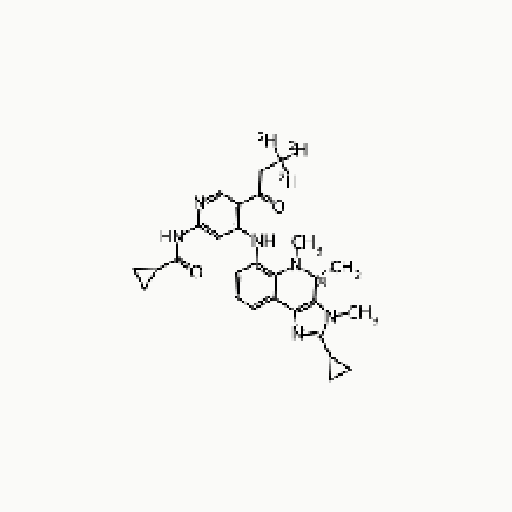 [2H]C([2H])([2H])CC(=O)c1cnc(NC(=O)C2CC2)cc1Nc1cccc2c1N(C)[C@H](C)c1c-2nc(C2CC2)n1C